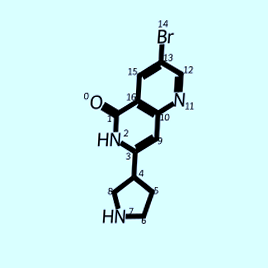 O=c1[nH]c(C2CCNC2)cc2ncc(Br)cc12